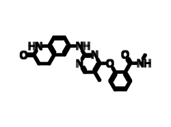 CNC(=O)c1ccccc1Oc1nc(Nc2ccc3c(c2)CCC(=O)N3)ncc1C